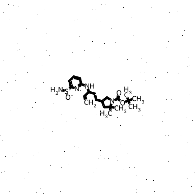 C=CC(CCC1CN(C(=O)OC(C)(C)C)C(C)(C)C1)Nc1cccc([S+](N)[O-])n1